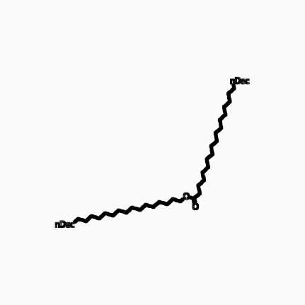 CCCCCCCCCCCCCCCCCCCCCCCCCCCC(=O)OCCCCCCCCCCCCCCCCCCCCCCCCCC